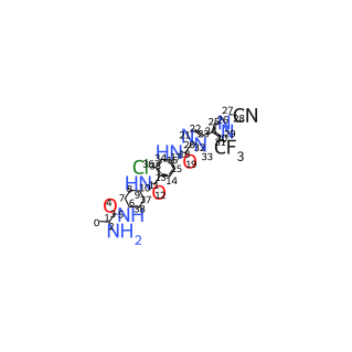 CC(N)C(=O)NC1CCC(NC(=O)c2ccc(NC(=O)c3ncc(-c4cn(CC#N)nc4C(F)(F)F)n3C)cc2Cl)CC1